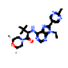 CCn1c(-c2cnc(C)nc2)nc2c(NC(C(=O)N3C[C@@H](C)O[C@@H](C)C3)C(C)(C)C)ncnc21